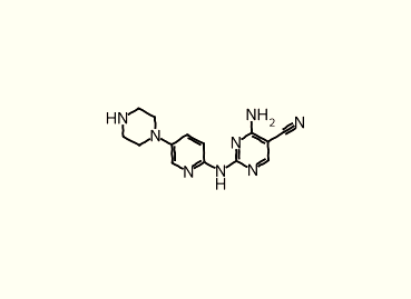 N#Cc1cnc(Nc2ccc(N3CCNCC3)cn2)nc1N